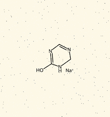 OC1=NC=NCN1.[Na+]